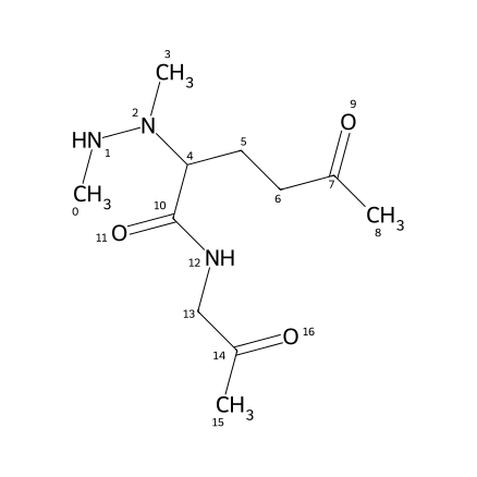 CNN(C)C(CCC(C)=O)C(=O)NCC(C)=O